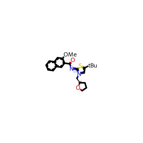 COc1cc2ccccc2cc1C(=O)/N=c1\sc(C(C)(C)C)cn1C[C@H]1CCCO1